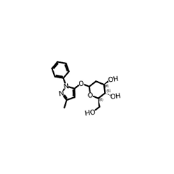 Cc1cc(OC2C[C@@H](O)[C@H](O)[C@@H](CO)O2)n(-c2ccccc2)n1